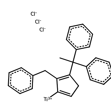 CC(C1=C(Cc2ccccc2)[C]([Ti+3])=CC1)(c1ccccc1)c1ccccc1.[Cl-].[Cl-].[Cl-]